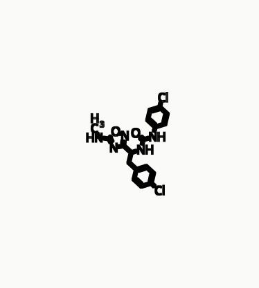 CNc1nc(C(Cc2ccc(Cl)cc2)NC(=O)Nc2ccc(Cl)cc2)no1